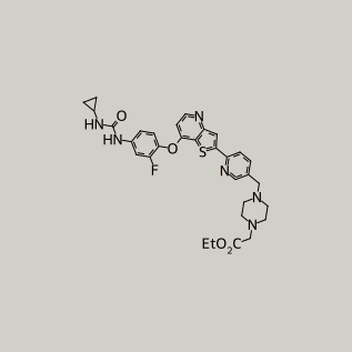 CCOC(=O)CN1CCN(Cc2ccc(-c3cc4nccc(Oc5ccc(NC(=O)NC6CC6)cc5F)c4s3)nc2)CC1